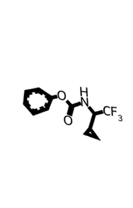 O=C(NC(C1CC1)C(F)(F)F)Oc1ccccc1